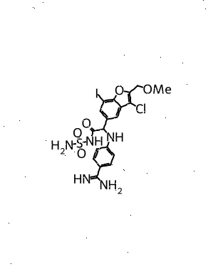 COCc1oc2c(I)cc(C(Nc3ccc(C(=N)N)cc3)C(=O)NS(N)(=O)=O)cc2c1Cl